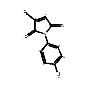 O=C1C=C(Cl)C(=O)N1c1ccc(Cl)cc1